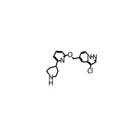 Clc1cnn2ccc(COc3cccc(C4CCNCC4)n3)cc12